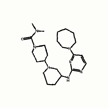 CN(C)C(=O)N1CCC(N2CCCC(Nc3nccc(N4CCCCCC4)n3)C2)CC1